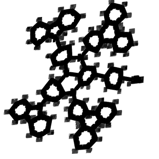 CC(C)(C)c1ccc(-c2cc3c4c(c2)N(c2ccc5c6ccccc6c6ccccc6c5c2)c2cc(-n5c6ccccc6c6ccccc65)ccc2B4c2ccc(-n4c5ccccc5c5ccccc54)cc2N3c2ccc3c4ccccc4c4ccccc4c3c2)cc1